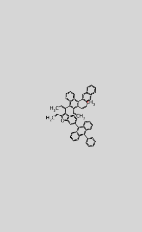 C=Cc1oc2cc(-c3c4ccccc4c(-c4ccccc4)c4ccccc34)ccc2c1/C(=C\C)c1c(C=C)c(/C=C\C)c(-c2ccc3ccccc3c2)c2ccccc12